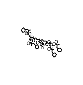 CC(CC1CCCCC1)C(=O)OCC(COC(=O)C(C)CC1CCCCC1)OC(=O)CCCN(CCCC(=O)OC(COC(=O)C(C)CC1CCCCC1)COC(=O)C(C)CC1CCCCC1)C(=O)n1ccnc1